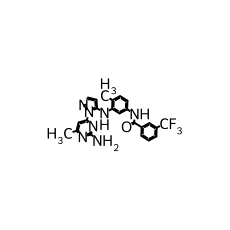 Cc1cc(-n2nccc2Nc2cc(NC(=O)c3cccc(C(F)(F)F)c3)ccc2C)nc(N)n1